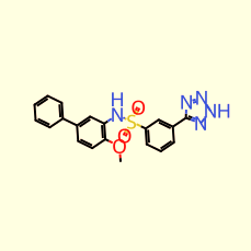 COc1ccc(-c2ccccc2)cc1NS(=O)(=O)c1cccc(-c2nn[nH]n2)c1